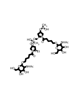 CC[C@@H]1C[C@@H](O[PH](C)(O)OC[C@@H]2CC(OP(C)O)CN2C(=O)CCCCOC2OC(CO)C(O)C(O)C2NC(C)=O)CN1C(=O)CCCCOC1OC(CO)C(O)C(O)C1NC(C)=O